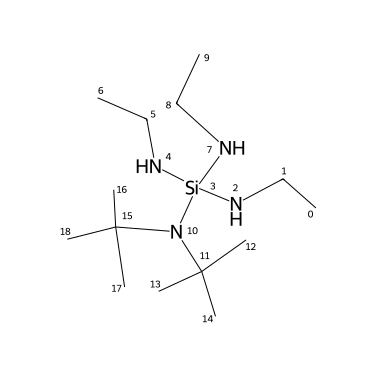 CCN[Si](NCC)(NCC)N(C(C)(C)C)C(C)(C)C